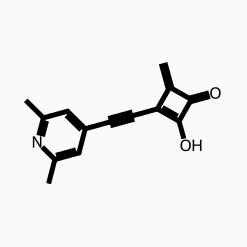 C=C1C(=O)C(O)=C1C#Cc1cc(C)nc(C)c1